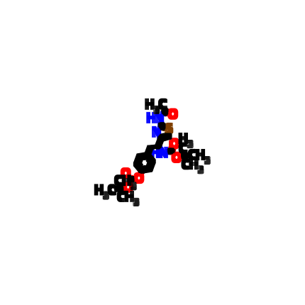 CC(=O)Nc1nc([C@H](Cc2ccc(OC(=O)OC(C)(C)C)cc2)NC(=O)OC(C)(C)C)cs1